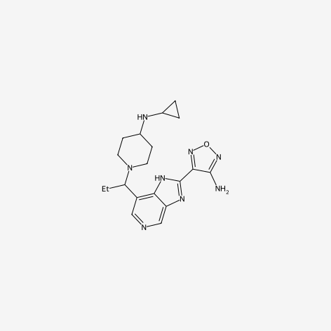 CCC(c1cncc2nc(-c3nonc3N)[nH]c12)N1CCC(NC2CC2)CC1